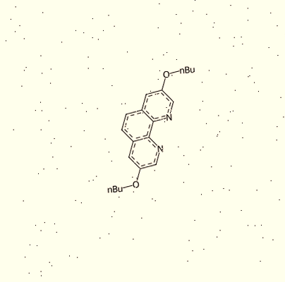 CCCCOc1cnc2c(ccc3cc(OCCCC)cnc32)c1